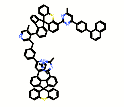 Cc1cc(-c2ccc(-c3cccc4ccccc34)cc2)nc(-c2cccc3c2Sc2ccccc2C32c3ccccc3-c3c(-c4c(C)cncc4Cc4cccc(-c5cc(-c6cccc7c6-c6c(-c8nc(C)nc(C)n8)cccc6C76c7ccccc7Sc7ccccc76)c(C)cn5)c4)cccc32)n1